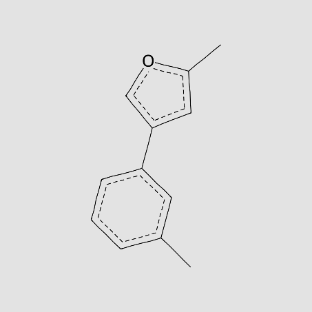 Cc1cccc(-c2coc(C)c2)c1